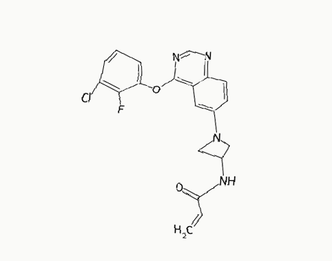 C=CC(=O)NC1CN(c2ccc3ncnc(Oc4cccc(Cl)c4F)c3c2)C1